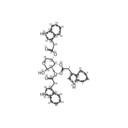 O=C(Cc1c[nH]c2ccccc12)O[C@H]1[C@@H](OC(=O)Cc2c[nH]c3ccccc23)COC(O)[C@@H]1OC(=O)Cc1c[nH]c2ccccc12